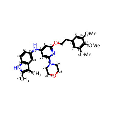 COc1cc(CCOc2cc(Nc3ccc4[nH]c(C)c(C)c4c3)cc(N3CCOCC3)n2)cc(OC)c1OC